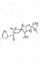 CC1(C)OC2OC(C)(COC(=O)c3ccccc3)C(O)C2O1